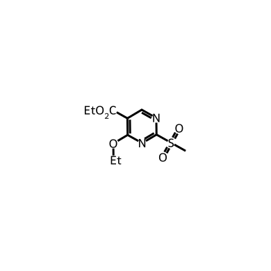 CCOC(=O)c1cnc(S(C)(=O)=O)nc1OCC